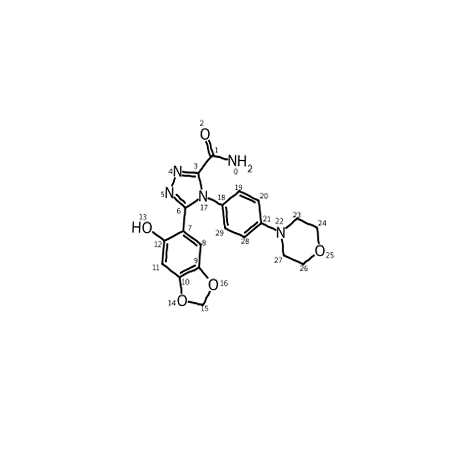 NC(=O)c1nnc(-c2cc3c(cc2O)OCO3)n1-c1ccc(N2CCOCC2)cc1